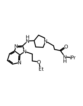 CCOCCn1c(NC2CCN(CCC(=O)NC(C)C)CC2)nc2cccnc21